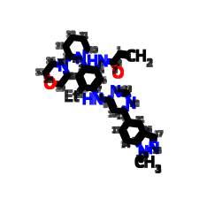 C=CC(=O)Nc1cc(Nc2cc(-c3ccc4c(cnn4C)c3)ncn2)c(CC)cc1N1CCCCC1N1CCOCC1